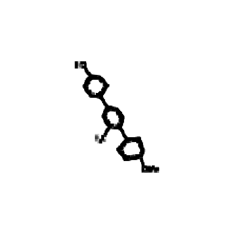 COc1ccc(-c2ccc(-c3ccc(O)cc3)cc2C(F)(F)F)cc1